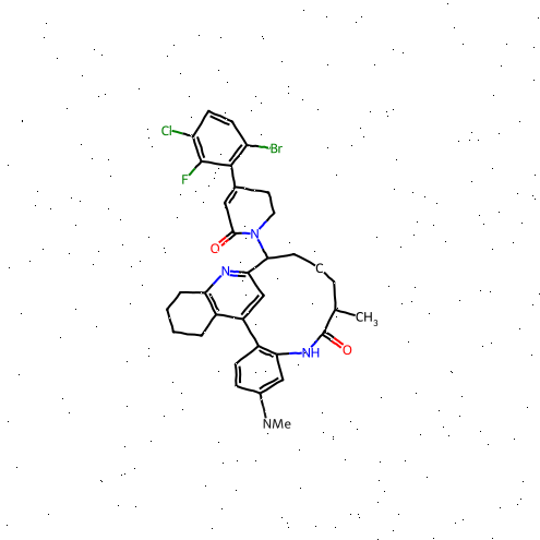 CNc1ccc2c(c1)NC(=O)C(C)CCCC(N1CCC(c3c(Br)ccc(Cl)c3F)=CC1=O)c1cc-2c2c(n1)CCCC2